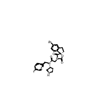 O=C1O[C@@]2(CCc3cc(Br)ccc32)C(=O)N1CC(=O)N(Cc1ccc(F)cc1)[C@@H]1CCNC1